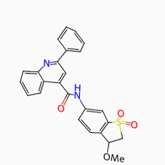 COC1CS(=O)(=O)c2cc(NC(=O)c3cc(-c4ccccc4)nc4ccccc34)ccc21